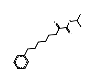 CC(C)OC(=O)C(=O)CCCCCCc1ccccc1